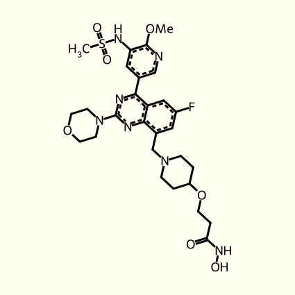 COc1ncc(-c2nc(N3CCOCC3)nc3c(CN4CCC(OCCC(=O)NO)CC4)cc(F)cc23)cc1NS(C)(=O)=O